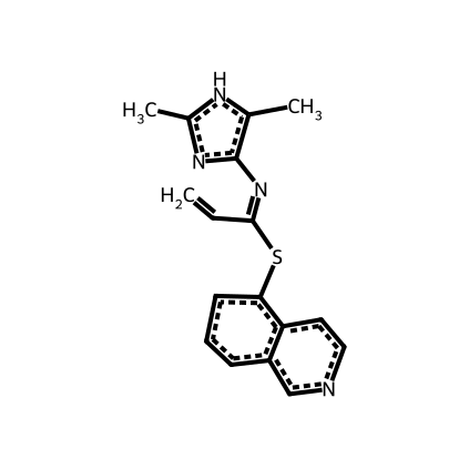 C=C/C(=N\c1nc(C)[nH]c1C)Sc1cccc2cnccc12